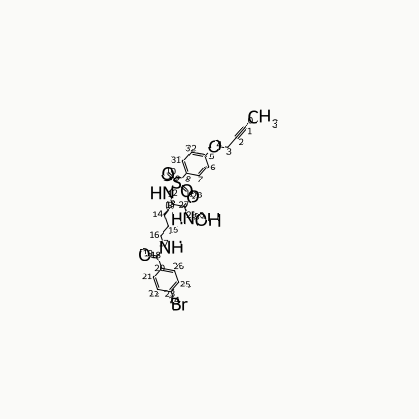 CC#CCOc1ccc(S(=O)(=O)N[C@H](CCCNC(=O)c2ccc(Br)cc2)C(=O)NO)cc1